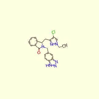 N#CCn1cc(Cl)c(CC2c3ccccc3C(=O)N2Cc2ccc3[nH]nnc3c2)n1